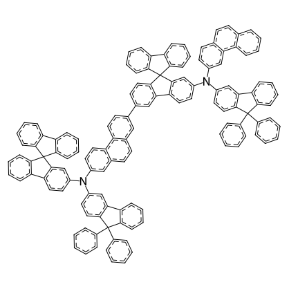 c1ccc(C2(c3ccccc3)c3ccccc3-c3cc(N(c4ccc5c(c4)C4(c6ccccc6-c6ccccc64)c4ccccc4-5)c4ccc5c(ccc6cc(-c7ccc8c(c7)-c7ccc(N(c9ccc%10c(c9)-c9ccccc9C%10(c9ccccc9)c9ccccc9)c9ccc%10ccc%11ccccc%11c%10c9)cc7C87c8ccccc8-c8ccccc87)ccc65)c4)ccc32)cc1